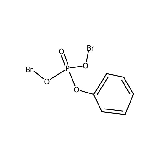 O=P(OBr)(OBr)Oc1ccccc1